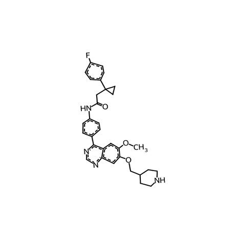 COc1cc2c(-c3ccc(NC(=O)CC4(c5ccc(F)cc5)CC4)cc3)ncnc2cc1OCC1CCNCC1